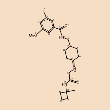 COc1cc(F)cc(C(=O)NCC2CCC(=NCC(=O)NC3(C)CCC3)CC2)c1